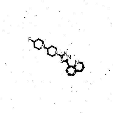 FC1CCN(C2CCN(c3nnc(-c4cccc5cccnc45)s3)CC2)CC1